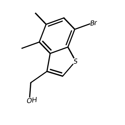 Cc1cc(Br)c2scc(CO)c2c1C